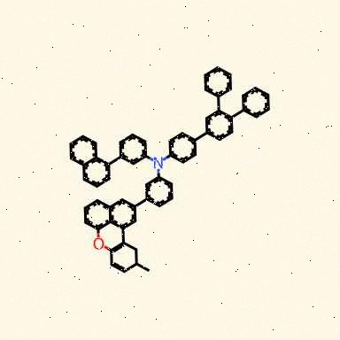 CC1C=CC2=C(C1)c1cc(-c3cccc(N(c4ccc(-c5ccc(-c6ccccc6)c(-c6ccccc6)c5)cc4)c4cccc(-c5cccc6ccccc56)c4)c3)cc3cccc(c13)O2